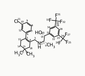 C[C@H](NCC1=C(c2cccc(Cl)c2)CCC(C)(C)C1)[C@H](O)c1cc(C(F)(F)F)cc(C(F)(F)F)c1